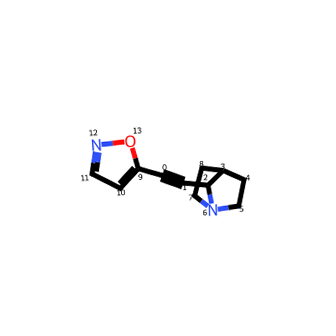 C(#CC1C2CCN1CC2)c1ccno1